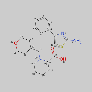 Nc1nc(-c2ccccc2)cs1.O=C(O)[C@@H]1CCCCN1CC1CCOCC1